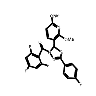 COc1ccc(C2SC(c3ccc(F)cc3)=NN2C(=O)c2c(F)cc(F)cc2F)c(OC)n1